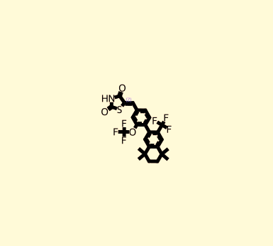 CC1(C)CCC(C)(C)c2cc(C(F)(F)F)c(-c3ccc(/C=C4\SC(=O)NC4=O)cc3OC(F)(F)F)cc21